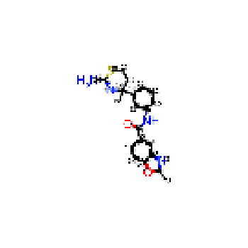 Cc1nc2cc(C(=O)Nc3cccc(C4(C)CCSC(N)=N4)c3)ccc2o1